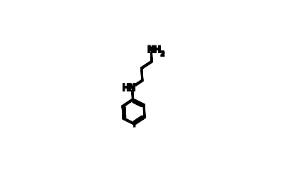 NCCCNc1cc[c]cc1